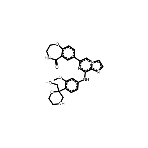 COc1cc(Nc2nc(-c3ccc4c(c3)C(=O)NCCO4)cn3ccnc23)ccc1C1(CO)CNCCO1